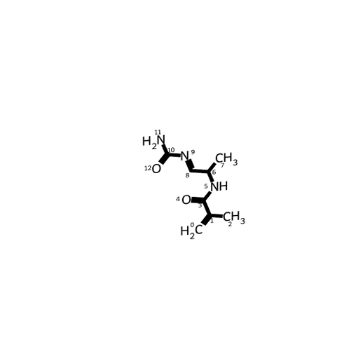 C=C(C)C(=O)NC(C)C=NC(N)=O